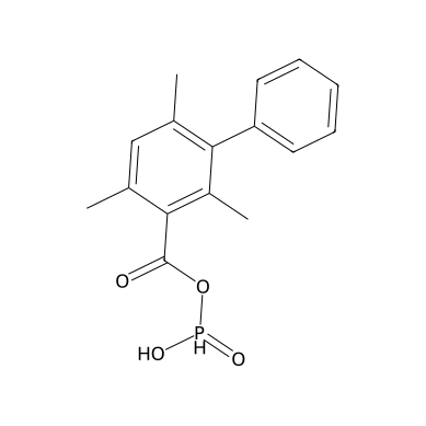 Cc1cc(C)c(-c2ccccc2)c(C)c1C(=O)O[PH](=O)O